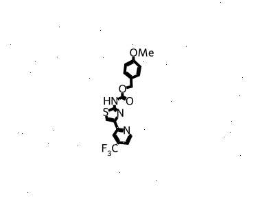 COc1ccc(COC(=O)Nc2nc(-c3cc(C(F)(F)F)ccn3)cs2)cc1